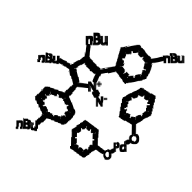 CCCCC1=C(c2ccc(CCCC)cc2)[N+](=[N-])C(c2ccc(CCCC)cc2)=C1CCCC.c1ccc([O][Pd][O]c2ccccc2)cc1